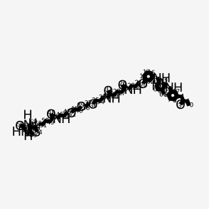 C=CC(=O)Cc1cccc(Nc2nc(Nc3cccc(OCCCNC(=O)CCCC(=O)NCCCOCCOCCOCCCNC(=O)CCCC[C@@H]4SC[C@@H]5NC(=O)N[C@@H]54)c3)ncc2C)c1